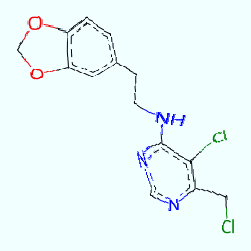 ClCc1ncnc(NCCc2ccc3c(c2)OCO3)c1Cl